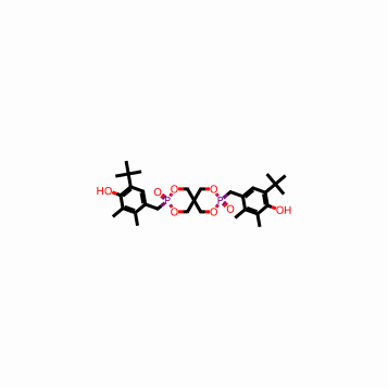 Cc1c(CP2(=O)OCC3(CO2)COP(=O)(Cc2cc(C(C)(C)C)c(O)c(C)c2C)OC3)cc(C(C)(C)C)c(O)c1C